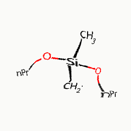 [CH2][Si](C)(OCCC)OCCC